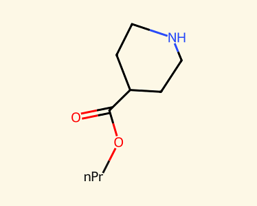 CCCOC(=O)C1CCNCC1